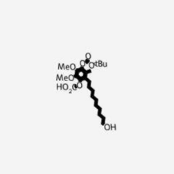 COc1c(OC(=O)OC(C)(C)C)c(C)c(CCCCCCCCCCO)c(OC(=O)O)c1OC